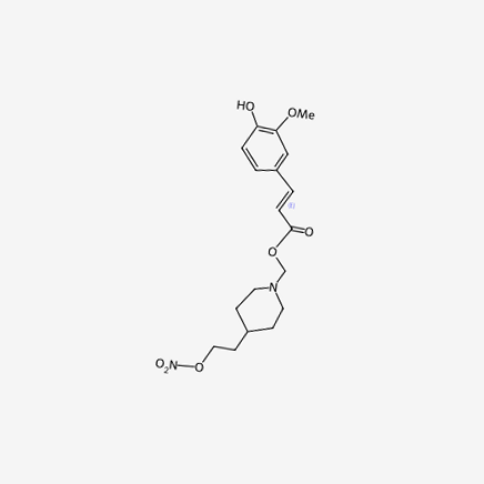 COc1cc(/C=C/C(=O)OCN2CCC(CCO[N+](=O)[O-])CC2)ccc1O